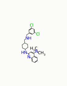 CN(C)c1cc(NC2CCC(CNCc3cc(Cl)cc(Cl)c3)CC2)nc2ccccc12